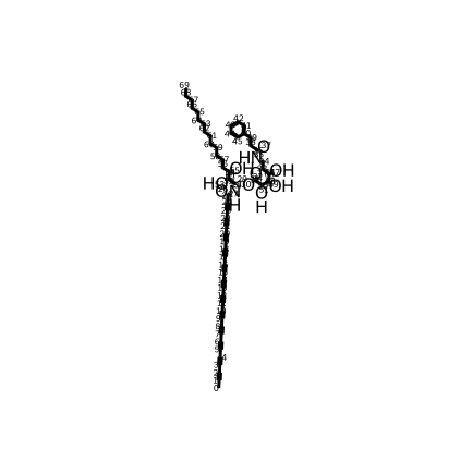 CC#CC#CC#CC#CC#CC#CC#CC#CC#CC#CC#CC#CC(=O)N[C@@H](CO[C@H]1OC(CNC(=O)CCc2ccccc2)[C@H](O)[C@H](O)C1O)[C@H](O)[C@H](O)CCCCCCCCCCCCCC